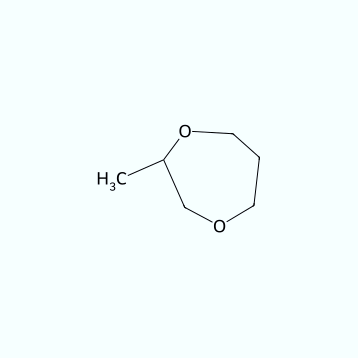 CC1COCCCO1